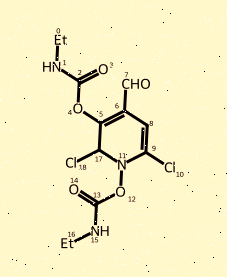 CCNC(=O)OC1=C(C=O)C=C(Cl)N(OC(=O)NCC)C1Cl